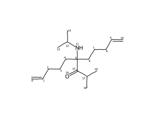 C=CCCCC(CCCC=C)(NC(C)C)C(=O)C(C)C